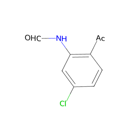 CC(=O)c1ccc(Cl)cc1NC=O